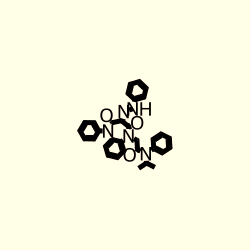 CC(C)N(C(=O)Cn1c(=O)c(=NNc2ccccc2)c(=O)n(-c2ccccc2)c2ccccc21)c1ccccc1